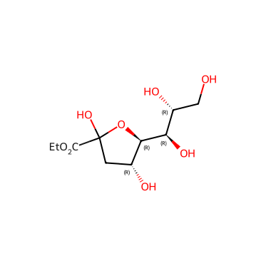 CCOC(=O)C1(O)C[C@@H](O)[C@H]([C@H](O)[C@H](O)CO)O1